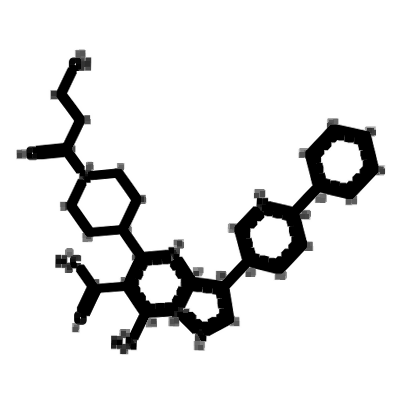 CC(=O)c1c(C2CCN(C(=O)CCO)CC2)nc2c(-c3ccc(-c4ccccc4)nc3)cnn2c1N